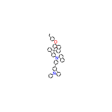 C=Cc1ccc(Oc2ccc(C3(c4cccc5ccccc45)c4ccccc4-c4ccc(N(c5ccc(-c6ccc7c(c6)c6ccccc6n7-c6ccccc6)cc5)c5cccc6ccccc56)cc43)cc2)cc1